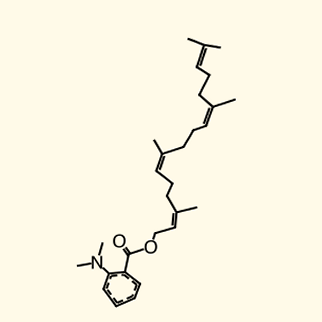 CC(C)=CCCC(C)=CCCC(C)=CCCC(C)=CCOC(=O)c1ccccc1N(C)C